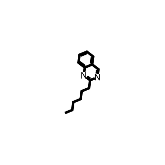 CCCCCCc1ncc2ccccc2n1